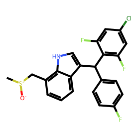 C[S+]([O-])Cc1cccc2c(C(c3ccc(F)cc3)c3c(F)cc(Cl)cc3F)c[nH]c12